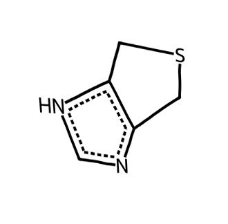 c1nc2c([nH]1)CSC2